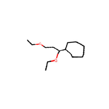 CCOCCC(OCC)C1CCCCC1